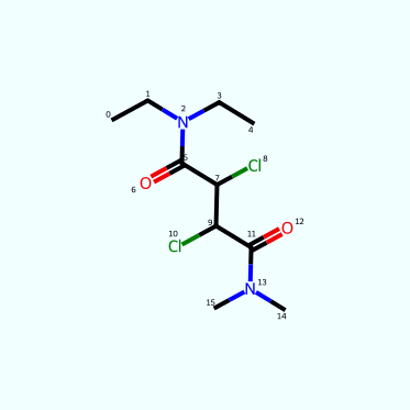 CCN(CC)C(=O)C(Cl)C(Cl)C(=O)N(C)C